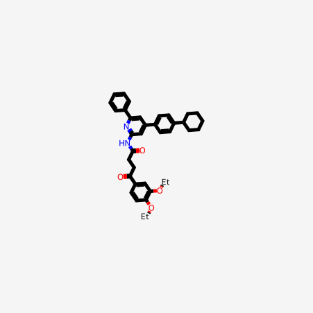 CCOc1ccc(C(=O)CCC(=O)Nc2cc(-c3ccc(C4CCCCC4)cc3)cc(-c3ccccc3)n2)cc1OCC